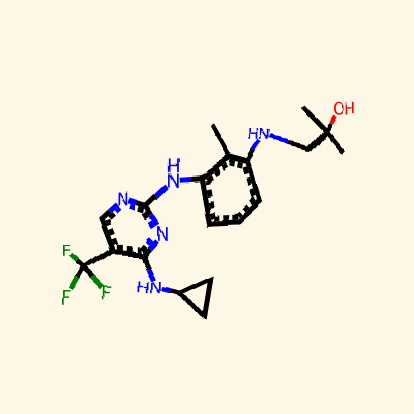 Cc1c(NCC(C)(C)O)cccc1Nc1ncc(C(F)(F)F)c(NC2CC2)n1